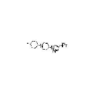 CC1CCC(N2CCC(n3cc(C(C)C)cn3)CC2)CC1